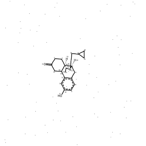 O=C1CC[C@H]2[C@H]3Cc4ccc(O)cc4[C@@]2(CCN3CC2CC2)C1